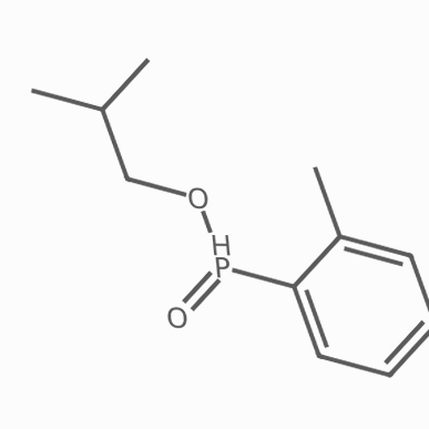 Cc1ccccc1[PH](=O)OCC(C)C